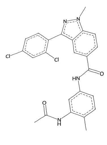 CC(=O)Nc1cc(NC(=O)c2ccc3c(c2)c(-c2ccc(Cl)cc2Cl)nn3C)ccc1C